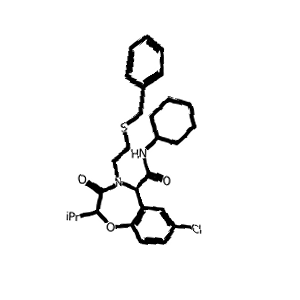 CC(C)C1Oc2ccc(Cl)cc2C(C(=O)NC2CCCCC2)N(CCSCc2ccccc2)C1=O